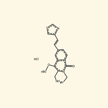 CCCCOc1c(CN)n(CC(C)C)c(=O)c2ccc(C=Cc3cscn3)cc12.Cl